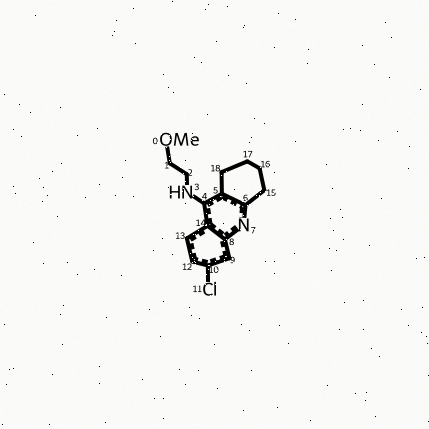 COCCNc1c2c(nc3cc(Cl)ccc13)CCCC2